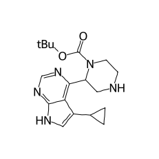 CC(C)(C)OC(=O)N1CCNCC1c1ncnc2[nH]cc(C3CC3)c12